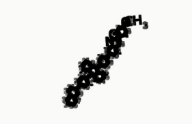 COc1ccc2c(c1)oc1nc3cc(-c4ccc(-c5c6ccccc6c(-c6ccc(-c7ccc8ccccc8c7)cc6)c6ccccc56)cc4)ccc3cc12